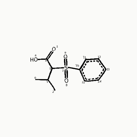 CC(C)C(C(=O)O)S(=O)(=O)c1ccccc1